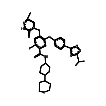 Cc1cc(Cc2cc(F)c(C(=O)NC3CCN(C4CCOCC4)CC3)cc2Oc2ccc(-c3nnc(C(C)C)s3)cc2)c(=O)[nH]n1